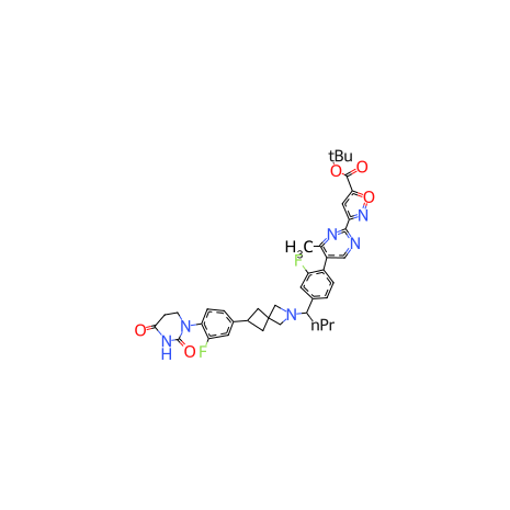 CCCC(c1ccc(-c2cnc(-c3cc(C(=O)OC(C)(C)C)on3)nc2C)c(F)c1)N1CC2(CC(c3ccc(N4CCC(=O)NC4=O)c(F)c3)C2)C1